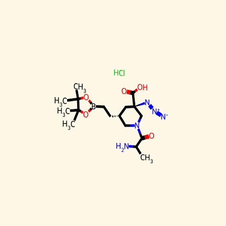 CC(N)C(=O)N1C[C@H](CCB2OC(C)(C)C(C)(C)O2)C[C@](N=[N+]=[N-])(C(=O)O)C1.Cl